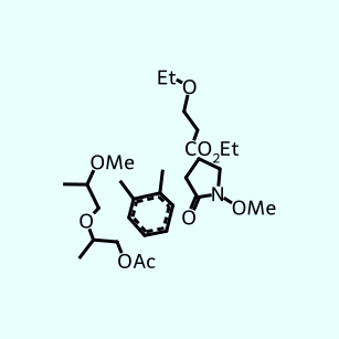 CCOCCC(=O)OCC.COC(C)COC(C)COC(C)=O.CON1CCCC1=O.Cc1ccccc1C